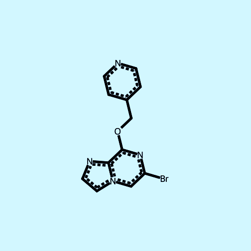 Brc1cn2ccnc2c(OCc2ccncc2)n1